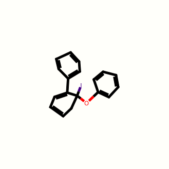 IC1(Oc2ccccc2)CC=CC=C1c1ccccc1